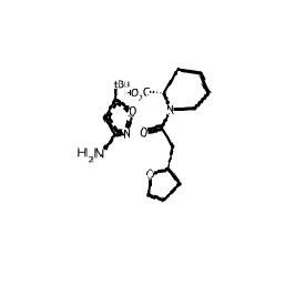 CC(C)(C)c1cc(N)no1.O=C(O)[C@@H]1CCCCN1C(=O)C[C@H]1CCCO1